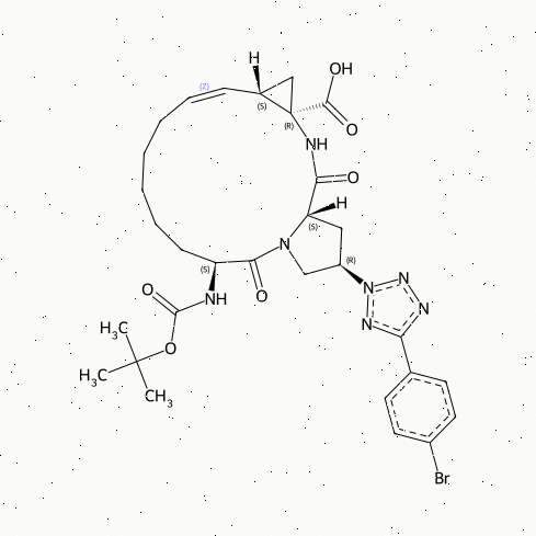 CC(C)(C)OC(=O)N[C@H]1CCCCC/C=C\[C@@H]2C[C@@]2(C(=O)O)NC(=O)[C@@H]2C[C@@H](n3nnc(-c4ccc(Br)cc4)n3)CN2C1=O